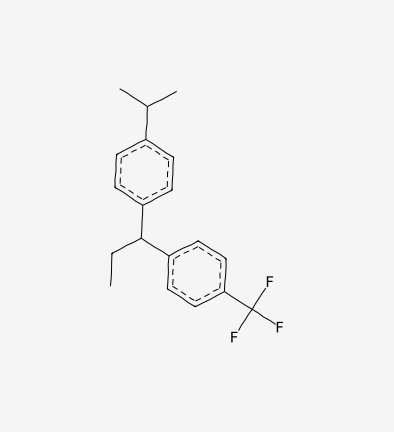 CCC(c1ccc(C(C)C)cc1)c1ccc(C(F)(F)F)cc1